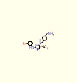 NCC1CCC(CNc2nc(Nc3cccc(Br)c3)ncc2[N+](=O)[O-])CC1